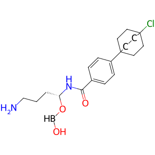 NCCC[C@H](NC(=O)c1ccc(C23CCC(Cl)(CC2)CC3)cc1)OBO